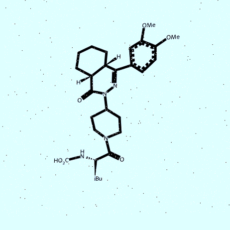 CC[C@H](C)[C@H](NC(=O)O)C(=O)N1CCC(N2N=C(c3ccc(OC)c(OC)c3)[C@H]3CCCC[C@H]3C2=O)CC1